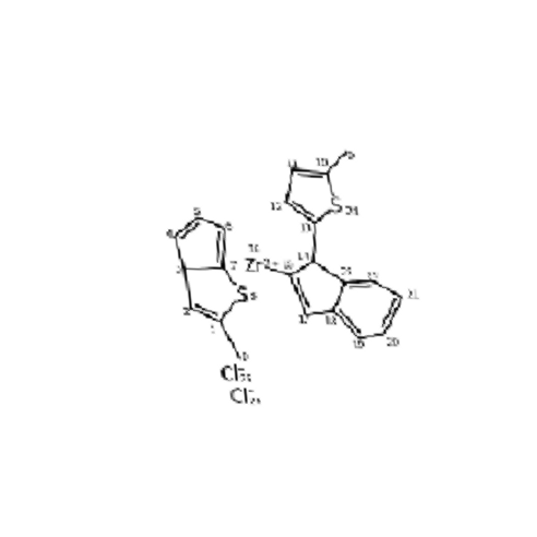 CC1=CC2C=CC=C2S1.Cc1ccc(C2[C]([Zr+2])=Cc3ccccc32)s1.[Cl-].[Cl-]